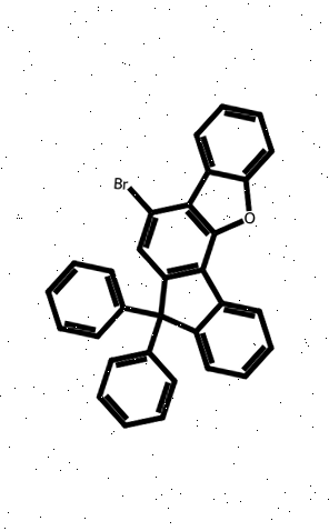 Brc1cc2c(c3oc4ccccc4c13)-c1ccccc1C2(c1ccccc1)c1ccccc1